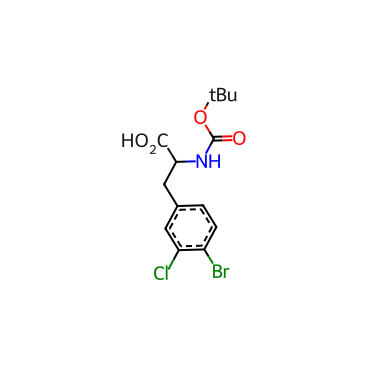 CC(C)(C)OC(=O)NC(Cc1ccc(Br)c(Cl)c1)C(=O)O